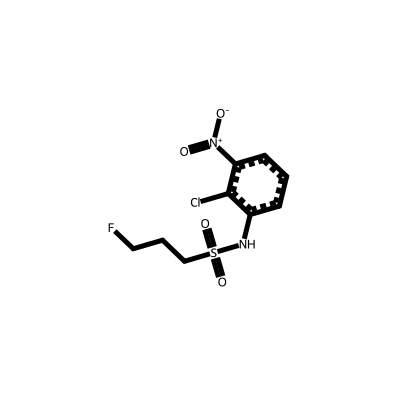 O=[N+]([O-])c1cccc(NS(=O)(=O)CCCF)c1Cl